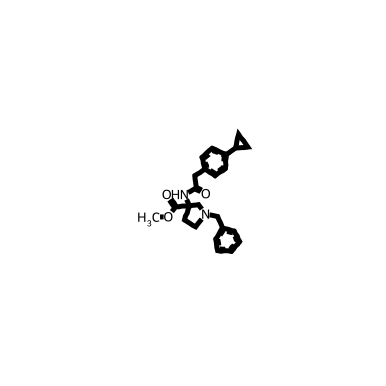 COC(=O)C1(NC(=O)Cc2ccc(C3CC3)cc2)CCN(Cc2ccccc2)C1